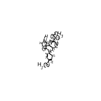 COc1ccc(N2Cc3cnc(S(C)(=O)=O)nc3C3(CCNC3)C2=O)cc1